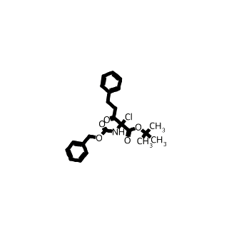 CC(C)(C)OC(=O)C(Cl)(NC(=O)OCc1ccccc1)C(=O)CCc1ccccc1